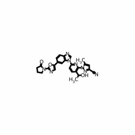 Cc1cc(C#N)nn1-c1nc(-n2cnc3ccc(-c4cnc(N5CCCC5=O)o4)cc32)ccc1C(C)O